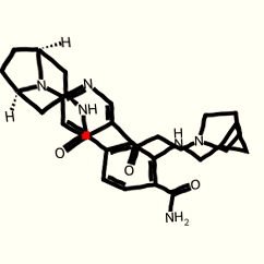 NC(=O)c1ccc(C(=O)N[C@H]2C[C@H]3CC[C@@H](C2)N3c2ccc(C(=O)CCN3CCCC3)cn2)cc1NCC1CC1